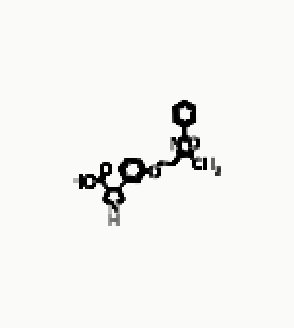 Cc1oc(-c2ccccc2)nc1CCOc1cccc([C@@H]2CNC[C@H]2C(=O)O)c1